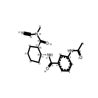 CC(=O)Nc1cccc(C(=O)N[C@@H]2CCCC[C@H]2C(=O)N(C)C#N)c1